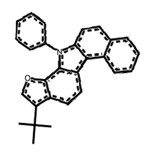 CC(C)(C)c1coc2c1ccc1c3c4ccccc4ccc3n(-c3ccccc3)c12